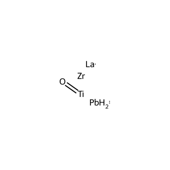 [La].[O]=[Ti].[PbH2].[Zr]